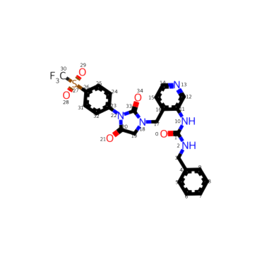 O=C(NCc1ccccc1)Nc1cnccc1CN1CC(=O)N(c2ccc(S(=O)(=O)C(F)(F)F)cc2)C1=O